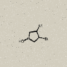 CCC1CN(O)CC1CC